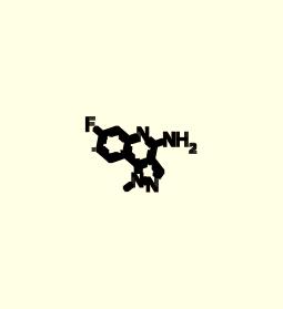 Cn1ncc2c(N)nc3cc(F)[c]cc3c21